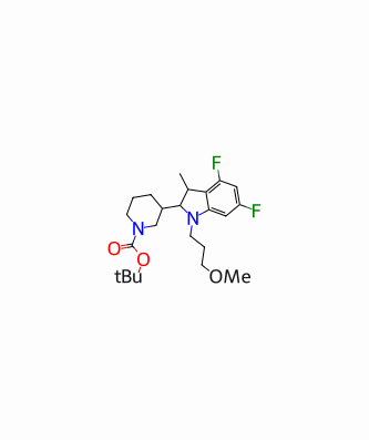 COCCCN1c2cc(F)cc(F)c2C(C)C1C1CCCN(C(=O)OC(C)(C)C)C1